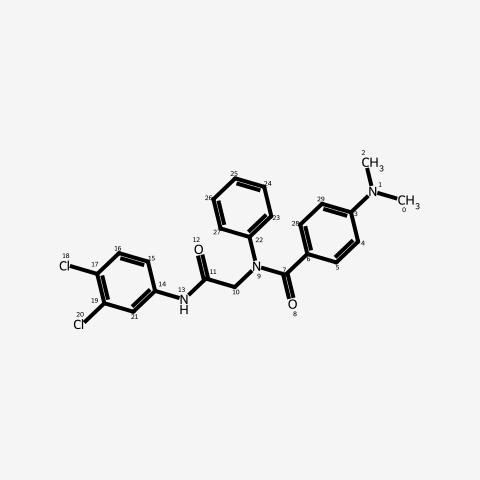 CN(C)c1ccc(C(=O)N(CC(=O)Nc2ccc(Cl)c(Cl)c2)c2ccccc2)cc1